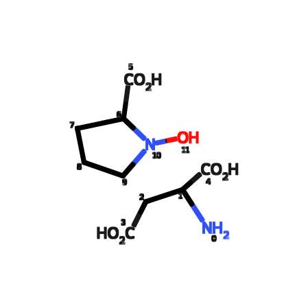 NC(CC(=O)O)C(=O)O.O=C(O)C1CCCN1O